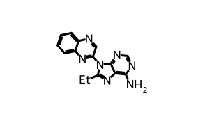 CCc1nc2c(N)ncnc2n1-c1cnc2ccccc2n1